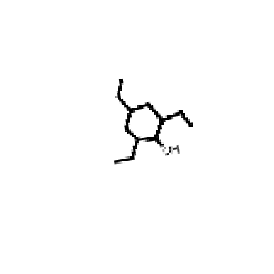 CCC1CC(CC)C(O)C(CC)C1